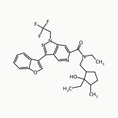 CCN(CC1CCC(C)C1(O)CC)C(=O)c1cc2c(cn1)c(-c1coc3ccccc13)nn2CC(F)(F)F